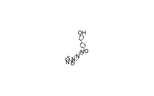 O=C(c1ccc(-c2ccc(O)cc2)cc1)N1CC(N2CCN(C(=O)c3nccs3)CC2)C1